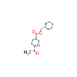 CC(=O)c1ccc(C(=O)OCc2ccccc2)cn1